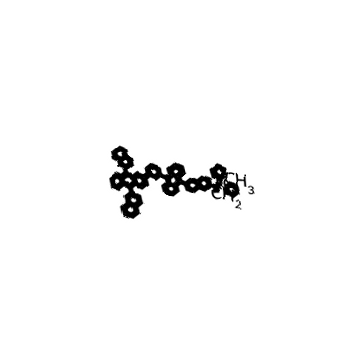 C=C(c1ccc2cc(-c3c4ccccc4c(-c4cccc(-c5ccc6c(-c7ccc8ccccc8c7)c7ccccc7c(-c7ccc8ccccc8c7)c6c5)c4)c4ccccc34)ccc2c1)N(c1ccccc1)c1ccccc1C